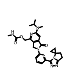 CNC(=O)OCc1nc(N(C)C(C)C)cc2c1CN(c1cccc(-c3nnc4n3C3(CC4)CC3)n1)C2=O